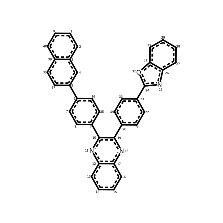 c1ccc2cc(-c3ccc(-c4nc5ccccc5nc4-c4ccc(-c5nc6ccccc6o5)cc4)cc3)ccc2c1